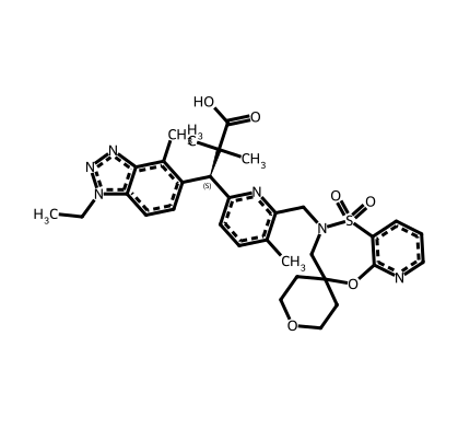 CCn1nnc2c(C)c([C@H](c3ccc(C)c(CN4CC5(CCOCC5)Oc5ncccc5S4(=O)=O)n3)C(C)(C)C(=O)O)ccc21